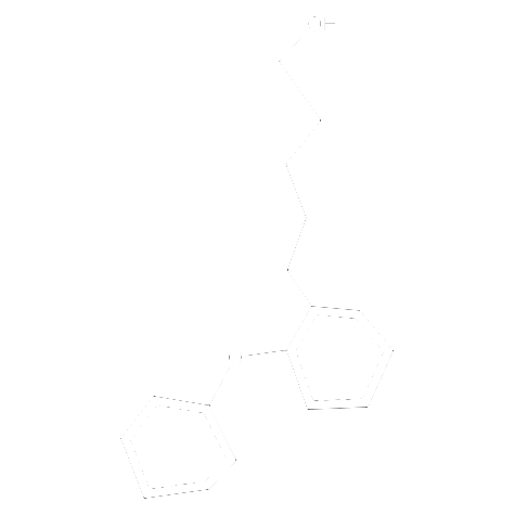 OCCCCCc1ccccc1Oc1ccccc1